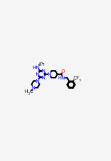 CC(C)Nc1nc(N2CCC(C(=O)NCc3ccccc3C(F)(F)F)CC2)nc(N2CCN(C)CC2)n1